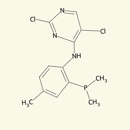 Cc1ccc(Nc2nc(Cl)ncc2Cl)c(P(C)C)c1